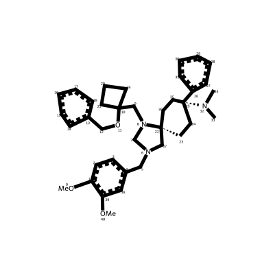 COc1ccc(CN2CN(CC3(OCc4ccccc4)CCC3)[C@]3(CC[C@@](c4ccccc4)(N(C)C)CC3)C2)cc1OC